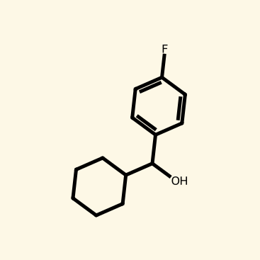 OC(c1ccc(F)cc1)C1CCCCC1